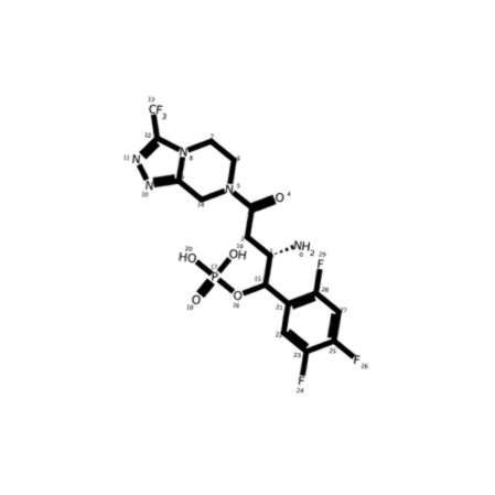 N[C@@H](CC(=O)N1CCn2c(nnc2C(F)(F)F)C1)C(OP(=O)(O)O)c1cc(F)c(F)cc1F